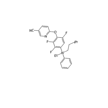 CC[N+](CCC(C)C)(c1ccccc1)c1cc(F)c(Oc2ccc(C#N)cn2)c(F)c1F